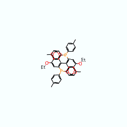 CCOc1cc(P(c2ccc(C)cc2)c2ccc(C)cc2)c(-c2c(P(c3ccc(C)cc3)c3ccc(C)cc3)cc(OCC)c3c2OCO3)c2c1OCO2